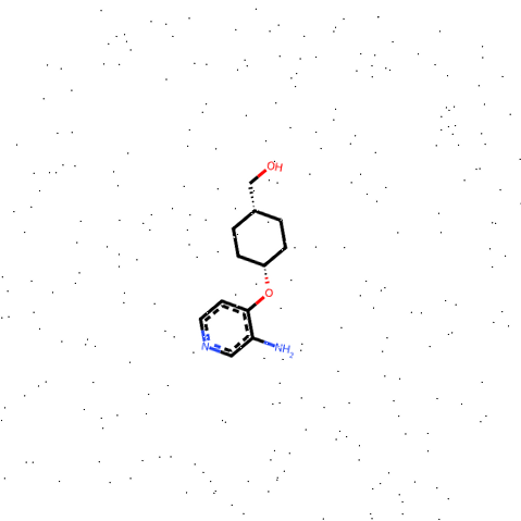 Nc1cnccc1O[C@H]1CC[C@@H](CO)CC1